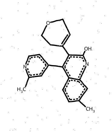 Cc1ccc2c(-c3ccnc(C)c3)c(C3=CCOCC3)c(O)nc2c1